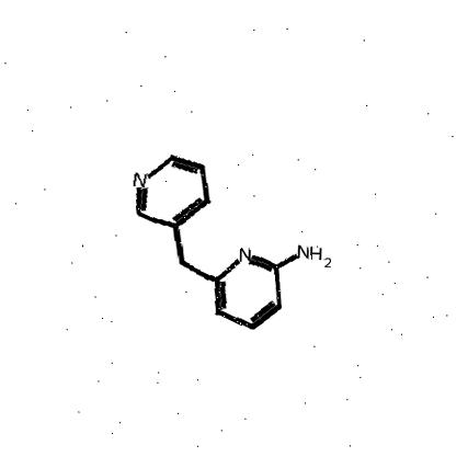 Nc1cccc(Cc2cccnc2)n1